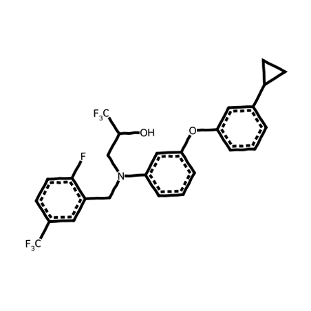 OC(CN(Cc1cc(C(F)(F)F)ccc1F)c1cccc(Oc2cccc(C3CC3)c2)c1)C(F)(F)F